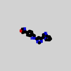 c1ccn2c(-c3cc(NCc4ccc(-c5cocn5)cc4)ncn3)cnc2c1